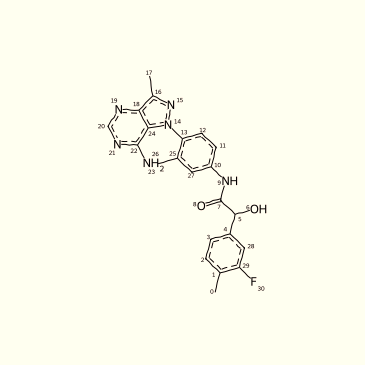 Cc1ccc(C(O)C(=O)Nc2ccc(-n3nc(C)c4ncnc(N)c43)c(C)c2)cc1F